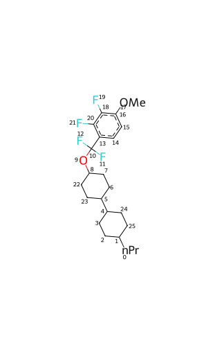 CCCC1CCC(C2CCC(OC(F)(F)c3ccc(OC)c(F)c3F)CC2)CC1